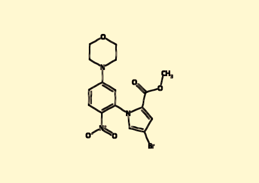 COC(=O)c1cc(Br)cn1-c1cc(N2CCOCC2)ccc1[N+](=O)[O-]